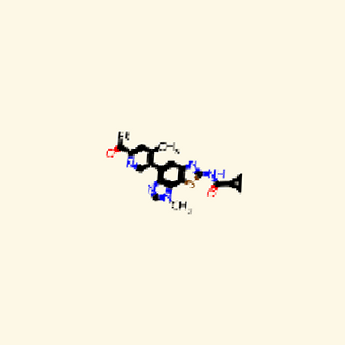 CCC(=O)c1cc(C)c(-c2cc3nc(NC(=O)C4CC4)sc3c3c2ncn3C)cn1